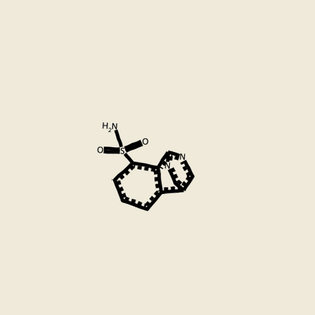 NS(=O)(=O)c1[c]ccc2c3cnc(nc3)c12